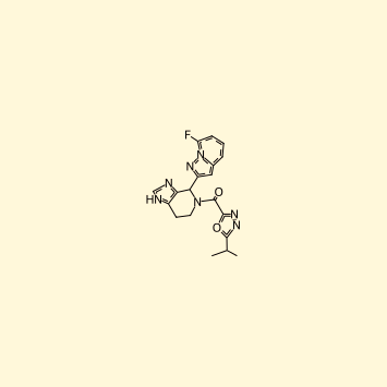 CC(C)c1nnc(C(=O)N2CCc3[nH]cnc3C2c2cc3cccc(F)n3n2)o1